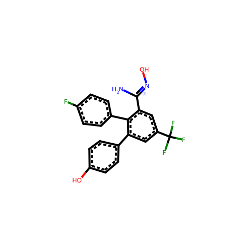 N/C(=N\O)c1cc(C(F)(F)F)cc(-c2ccc(O)cc2)c1-c1ccc(F)cc1